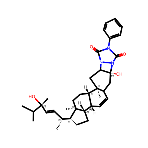 CC(C)[C@](C)(O)C=C[C@@H](C)[C@H]1CC[C@H]2[C@H]3C=CC4C[C@@]5(O)C(C[C@]4(C)[C@H]3CC[C@]12C)n1c(=O)n(-c2ccccc2)c(=O)n15